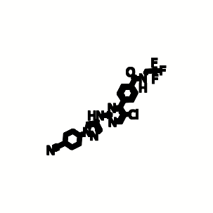 N#CC1CCC(n2cc(Nc3ncc(Cl)c(-c4ccc(C(=O)NCC(F)(F)F)cc4)n3)cn2)CC1